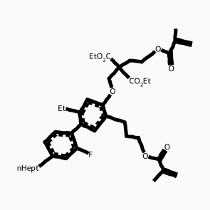 C=C(C)C(=O)OCCCc1cc(-c2ccc(CCCCCCC)cc2F)c(CC)cc1OCC(CCOC(=O)C(=C)C)(C(=O)OCC)C(=O)OCC